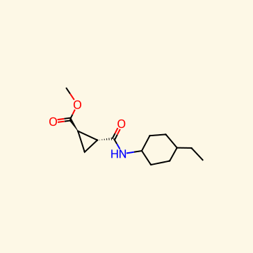 CCC1CCC(NC(=O)[C@@H]2C[C@H]2C(=O)OC)CC1